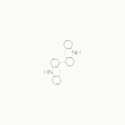 c1ccc2c(c1)Cc1c(cccc1-c1cccc3c1Cc1ccccc1N3)N2